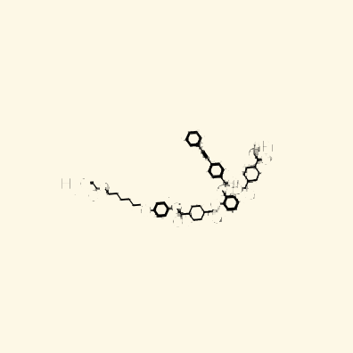 C=CC(=O)OCCCCCCOc1ccc(OC(=O)C2CCC(C(=O)Oc3cccc(OC(=O)C4CCC(C(=O)OCCC)CC4)c3OC(=O)c3ccc(C#Cc4ccccc4)cc3)CC2)cc1